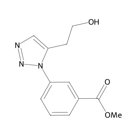 COC(=O)c1cccc(-n2nncc2CCO)c1